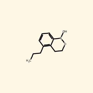 CCCc1cccc2c1CCOB2O